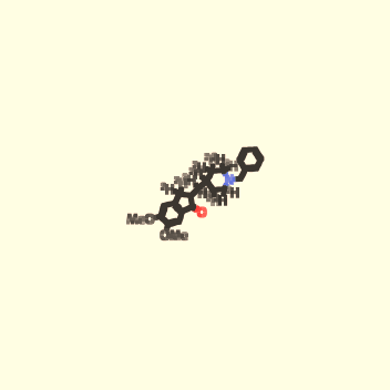 [2H]C1([2H])c2cc(OC)c(OC)cc2C(=O)C1C([2H])([2H])C1([2H])C([2H])([2H])C([2H])([2H])N(Cc2ccccc2)C([2H])([2H])C1([2H])[2H]